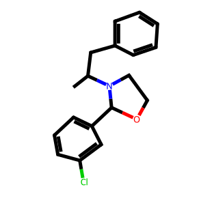 CC(Cc1ccccc1)N1CCOC1c1cccc(Cl)c1